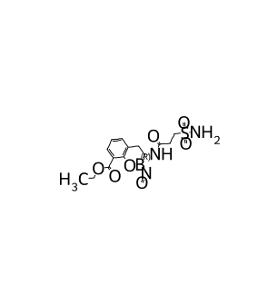 CCOC(=O)c1cccc2c1OB(N=O)[C@@H](NC(=O)CCS(N)(=O)=O)C2